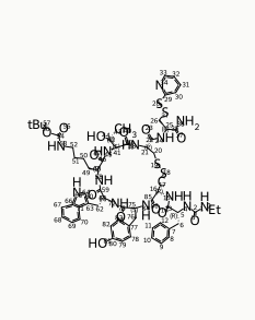 CCNC(=O)N[C@H](Cc1ccccc1)C(=O)N[C@H]1CSSC[C@@H](C(=O)N[C@@H](CSSc2ccccn2)C(N)=O)NC(=O)[C@H]([C@@H](C)O)NC(=O)[C@H](CCCCNC(=O)OC(C)(C)C)NC(=O)[C@@H](Cc2c[nH]c3ccccc23)NC(=O)[C@H](Cc2ccc(O)cc2)NC1=O